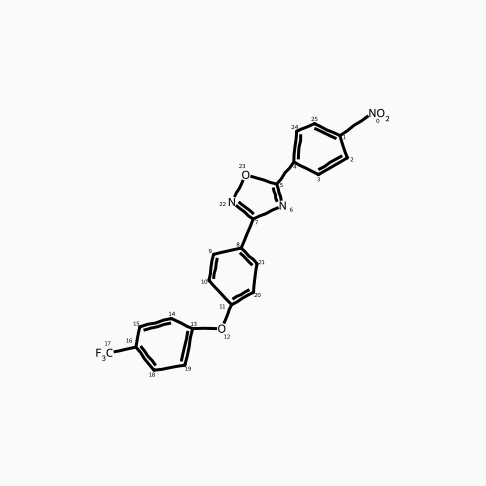 O=[N+]([O-])c1ccc(-c2nc(-c3ccc(Oc4ccc(C(F)(F)F)cc4)cc3)no2)cc1